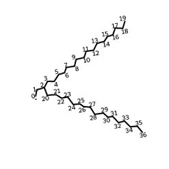 [CH2]CC(CCCCCCCCCCCCCCCCC)CCCCCCCCCCCCCCCCC